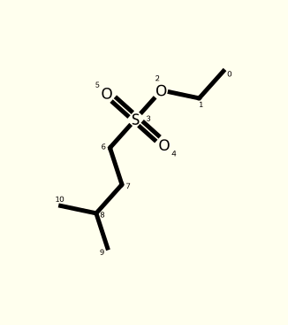 CCOS(=O)(=O)CCC(C)C